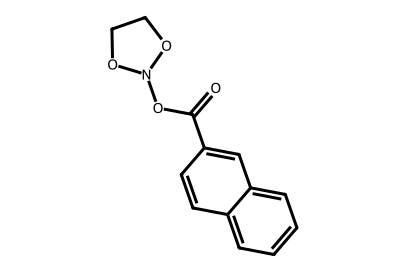 O=C(ON1OCCO1)c1ccc2ccccc2c1